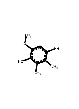 COc1cc(N)c(C)c(C)c1O